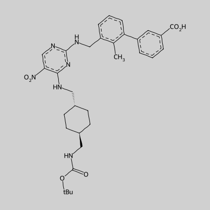 Cc1c(CNc2ncc([N+](=O)[O-])c(NC[C@H]3CC[C@H](CNC(=O)OC(C)(C)C)CC3)n2)cccc1-c1cccc(C(=O)O)c1